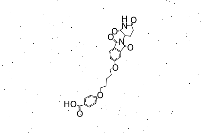 O=C1CCC(N2C(=O)c3ccc(OCCCCCOc4ccc(C(=O)O)cc4)cc3C2=O)C(=O)N1